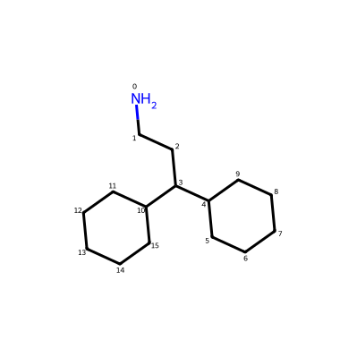 NCCC(C1CCCCC1)C1CCCCC1